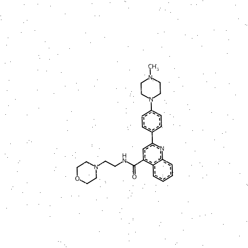 CN1CCN(c2ccc(-c3cc(C(=O)NCCN4CCOCC4)c4ccccc4n3)cc2)CC1